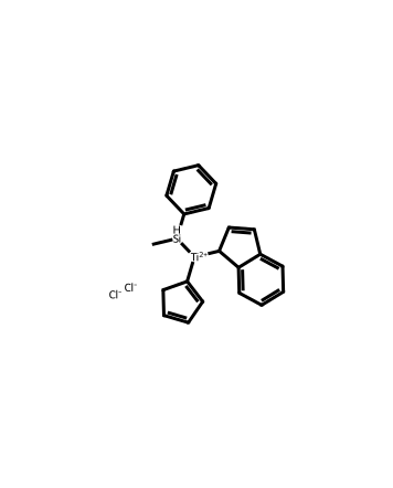 C[SiH](c1ccccc1)[Ti+2]([C]1=CC=CC1)[CH]1C=Cc2ccccc21.[Cl-].[Cl-]